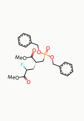 COC(=O)[C@@H](C[C@H](F)C(=O)OC)CP(=O)(OCc1ccccc1)OCc1ccccc1